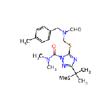 CSC(C)(C)c1nc(SCN(C=O)Cc2ccc(C)cc2)n(C(=O)N(C)C)n1